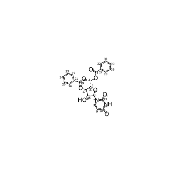 O=C(OC[C@@H]1OC(n2ccc(=O)[nH]c2=O)C(O)C1OC(=O)c1ccccc1)c1ccccc1